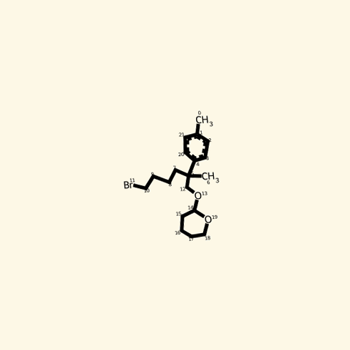 Cc1ccc(C(C)(CCCCBr)COC2CCCCO2)cc1